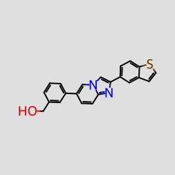 OCc1cccc(-c2ccc3nc(-c4ccc5sccc5c4)cn3c2)c1